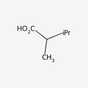 [CH2]C(C)C(C)C(=O)O